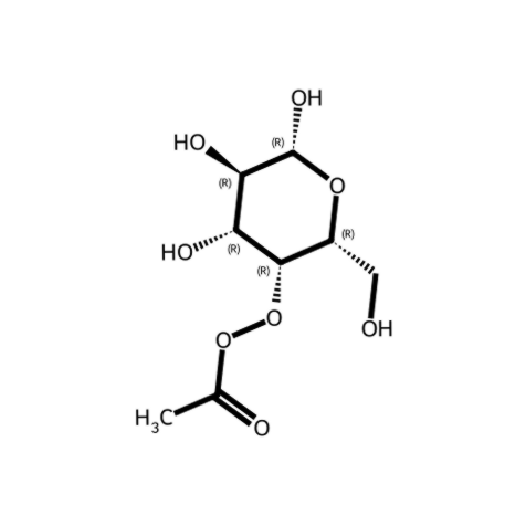 CC(=O)OO[C@@H]1[C@H](O)[C@@H](O)[C@H](O)O[C@@H]1CO